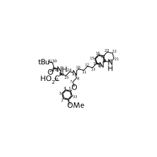 COc1cccc(OCCN(CCCCc2ccc3c(n2)NCCC3)CC[C@H](NC(=O)CC(C)(C)C)C(=O)O)c1